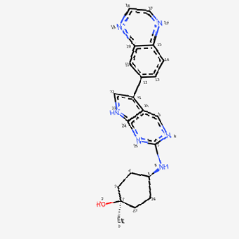 CC[C@]1(O)CC[C@@H](Nc2ncc3c(-c4ccc5nccnc5c4)c[nH]c3n2)CC1